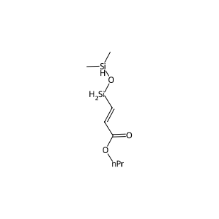 CCCOC(=O)C=C[SiH2]O[SiH](C)C